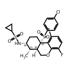 C[C@@H]1[C@H](NS(=O)(=O)C2CC2)CC[C@@]2(S(=O)(=O)c3ccc(Cl)cc3)c3c(F)ccc(F)c3OC[C@@H]12